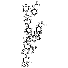 CC(C)Oc1ccccc1[C@@H]1COCCN1C1CC2(CCN(c3ccc(C(=O)NS(=O)(=O)c4cc5c(c([N+](=O)[O-])c4)N[C@H](C4CCC(C)(O)CC4)CO5)c(N4c5cc6cc[nH]c6nc5O[C@H]5COCC[C@@H]54)c3)CC2)C1